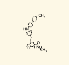 CCN1CCN(c2ccc(Nc3ncc(CCc4cc(C(=O)NOC)cc5occc45)cn3)cc2)CC1